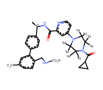 [2H]C1([2H])N(C(=O)C2CC2)C([2H])([2H])C([2H])([2H])N(c2ccnc(C(=O)N[C@H](C)c3ccc(-c4cc(C(F)(F)F)ccc4CNC(=O)O)cc3)c2)C1([2H])[2H]